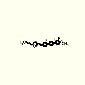 CCCCCC1CCC(/C=C/c2ccc(-c3ccc(-c4ccc(OC)c(F)c4F)cc3)c(F)c2)CO1